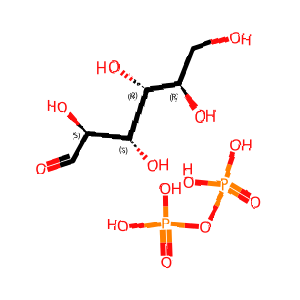 O=C[C@@H](O)[C@@H](O)[C@H](O)[C@H](O)CO.O=P(O)(O)OP(=O)(O)O